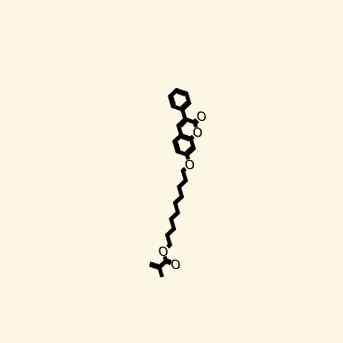 C=C(C)C(=O)OCCCCCCCCCCOc1ccc2cc(-c3ccccc3)c(=O)oc2c1